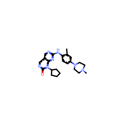 Cc1cc(N2CCN(C)CC2)ccc1Nc1ncc2cnc(=O)n(C3CCCC3)c2n1